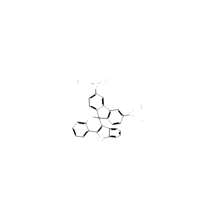 CN(C)c1ccc2c(c1)-c1cc(N(C)C)ccc1C21Oc2ccccc2-c2[nH]c3ccccc3c21